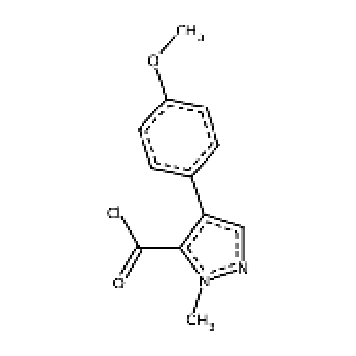 COc1ccc(-c2cnn(C)c2C(=O)Cl)cc1